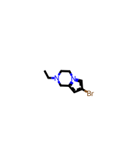 CCN1CCn2cc(Br)cc2C1